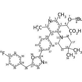 Cc1nc(C)c(C(OC(C)(C)C)C(=O)O)c(N2CCC(C)(C)CC2)c1-c1ccc(-c2ncc(Cc3ccc(F)cc3)o2)cc1